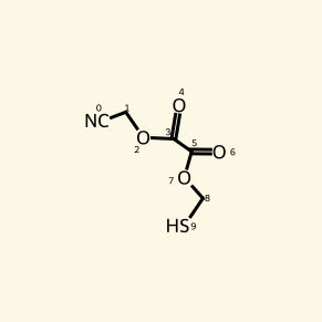 N#CCOC(=O)C(=O)OCS